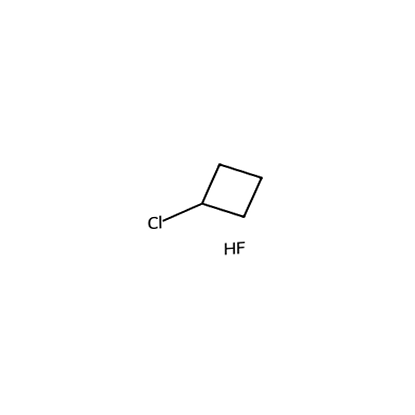 ClC1CCC1.F